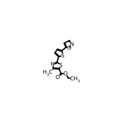 CCOC(=O)c1sc(-c2ccc(-c3ccno3)s2)nc1C